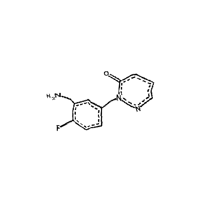 Nc1cc(-n2ncccc2=O)ccc1F